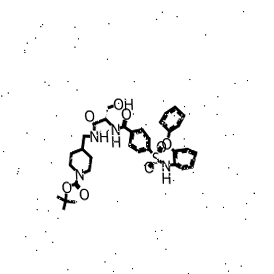 CC(C)(C)OC(=O)N1CCC(CNC(=O)[C@H](CO)NC(=O)c2ccc(S(=O)(=O)Nc3ccccc3Oc3ccccc3)cc2)CC1